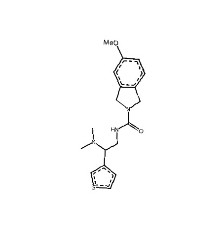 COc1ccc2c(c1)CN(C(=O)NCC(c1ccsc1)N(C)C)C2